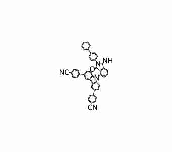 N#Cc1ccc(-c2ccc3c(c2)c2cc(-c4ccc(C#N)cc4)ccc2n3-c2cccc3c2C(=O)N(c2ccc(-c4ccccc4)cc2)C3=N)cc1